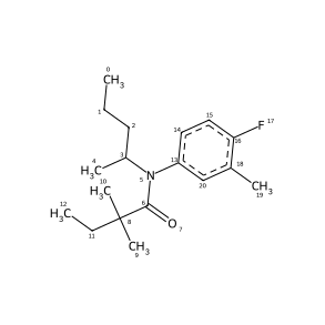 CCCC(C)N(C(=O)C(C)(C)CC)c1ccc(F)c(C)c1